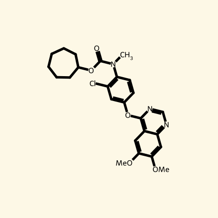 COc1cc2ncnc(Oc3ccc(N(C)C(=O)OC4CCCCCC4)c(Cl)c3)c2cc1OC